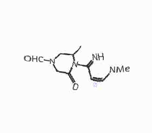 CN/C=C\C(=N)N1C(=O)CN(C=O)CC1C